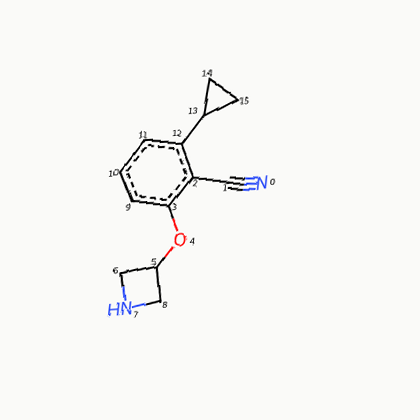 N#Cc1c(OC2CNC2)cccc1C1CC1